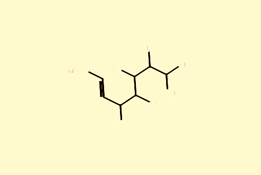 CCCCCC=CC(C)C(CC)C(O)C(CC)C(C)O